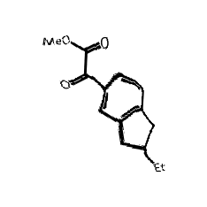 CCC1Cc2ccc(C(=O)C(=O)OC)cc2C1